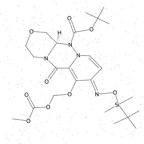 COC(=O)OCOc1c2n(cc/c1=N\O[Si](C)(C)C(C)(C)C)N(C(=O)OC(C)(C)C)[C@@H]1COCCN1C2=O